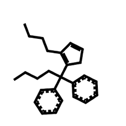 CCCCC1=C(C(CCCC)(c2ccccc2)c2ccccc2)CC=C1